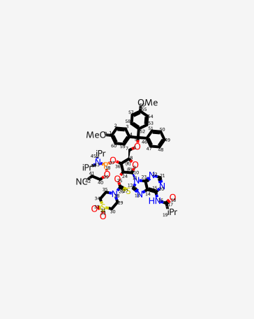 COc1ccc(C(OC[C@H]2O[C@@H](n3cnc4c(NC(=O)C(C)C)ncnc43)C(OC(=S)N3CCS(=O)(=O)CC3)C2OP(OCCC#N)N(C(C)C)C(C)C)(c2ccccc2)c2ccc(OC)cc2)cc1